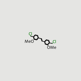 COc1cc(C=Cc2ccc(CCl)c(OC)c2)ccc1CCl